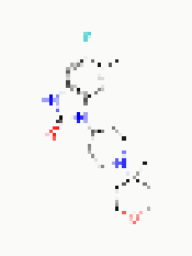 Cc1cc2c(cc1F)[nH]c(=O)n2C1CCN(C2(C)CCOCC2)CC1